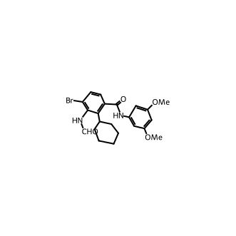 COc1cc(NC(=O)c2ccc(Br)c(NC=O)c2C2CCCCC2)cc(OC)c1